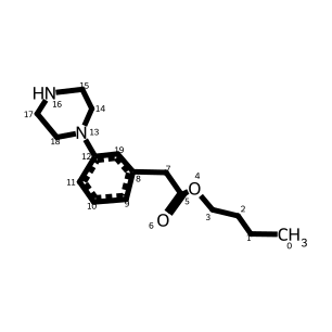 CCCCOC(=O)Cc1cccc(N2CCNCC2)c1